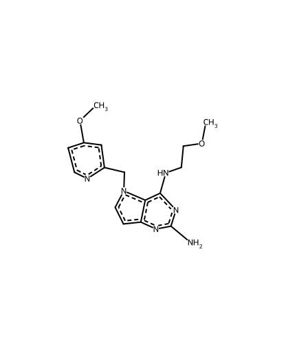 COCCNc1nc(N)nc2ccn(Cc3cc(OC)ccn3)c12